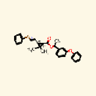 CC1(C)[C@H](C(=O)OC(C#N)c2cccc(Oc3ccccc3)c2)[C@@H]1/C=C/Sc1ccccc1